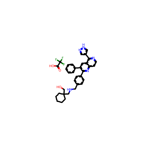 O=C(O)C(F)(F)F.OCC1(CNCc2ccc(-c3nc4ccnc(-c5cn[nH]c5)c4cc3-c3ccccc3)cc2)CCCCC1